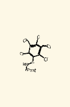 CCCCCNSc1c(Cl)c(Cl)c(Cl)c(Cl)c1Cl